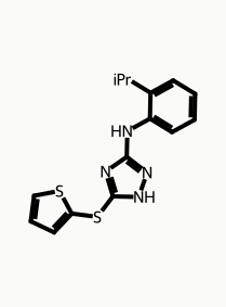 CC(C)c1ccccc1Nc1n[nH]c(Sc2cccs2)n1